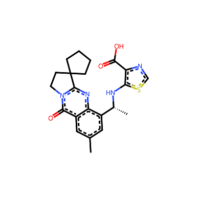 Cc1cc([C@@H](C)Nc2scnc2C(=O)O)c2nc3n(c(=O)c2c1)CCC31CCCC1